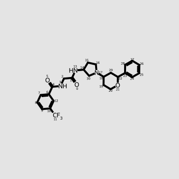 O=C(CNC(=O)c1cccc(C(F)(F)F)c1)NC1CCN(C2CCOC(c3ccccc3)C2)C1